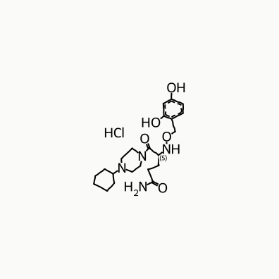 Cl.NC(=O)CC[C@H](NOCc1ccc(O)cc1O)C(=O)N1CCN(C2CCCCC2)CC1